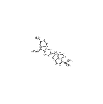 CCCCCn1c2c(c3ccc(C)cc31)CN(S(=O)(=O)c1cccc3c(N(C)C)cccc13)CC2